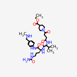 CCOC(=O)C1CCN(C(=O)CCC(=O)N[C@H](C(=O)N[C@@H](CCCNC(N)=O)C(=O)Nc2ccc(CNC)cc2)C(C)C)CC1